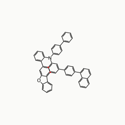 c1ccc(-c2ccc(N(c3cccc(-c4ccc(-c5cccc6ccccc56)cc4)c3)c3ccccc3-c3ccc4c(c3)oc3ccccc34)cc2)cc1